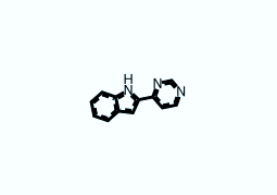 c1ccc2[nH]c(-c3ccncn3)cc2c1